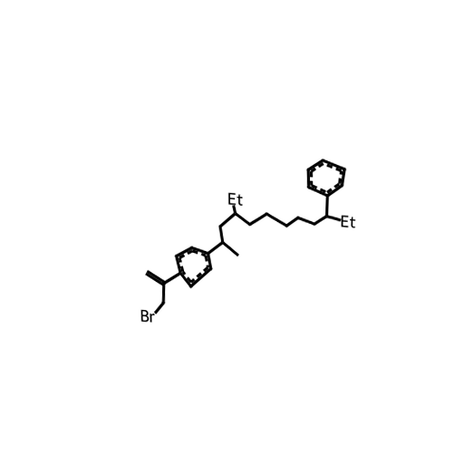 C=C(CBr)c1ccc(C(C)CC(CC)CCCCCC(CC)c2ccccc2)cc1